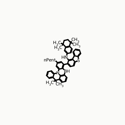 CCCCCc1cc(-c2ccc3sc4ccccc4c3c2Nc2ccc3c(c2)C(C)(C)CCC3(C)C)c2c(c1)N1c3ccccc3C(C)(C)c3cccc(c31)B2